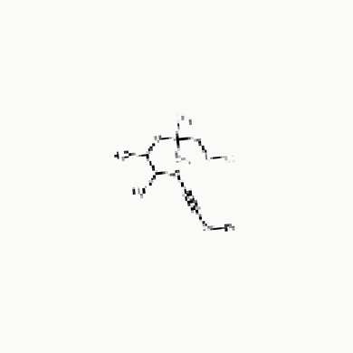 CCOCC(C)(C)OC(C)C(C)OC#COC(C)C